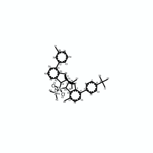 CC1=Cc2c(-c3ccc(C(C)(C)C)cc3)ccc(C)c2[CH]1[Zr]([Cl])([Cl])([CH]1C(C(C)C)=Cc2c(-c3cccc(C)c3)cccc21)[SiH](C)C